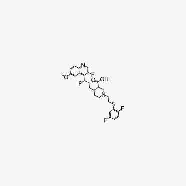 COc1ccc2ncc(F)c(C(F)CCC3CCN(CCSc4cc(F)ccc4F)CC3C(=O)O)c2c1